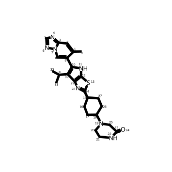 Cc1cc2ncnn2cc1-c1[nH]c2sc(C3CCC(N4CCNC(=O)C4)CC3)nc2c1C(C)C